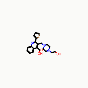 O=C(O)c1c(CN2CCN(CCO)CC2)c(-c2cccs2)nc2ccccc12